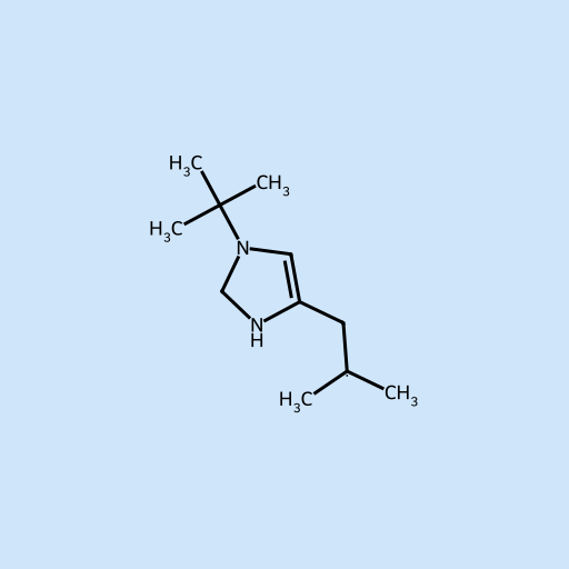 C[C](C)CC1=CN(C(C)(C)C)CN1